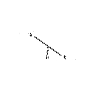 CCCCCCCCC(CCCCCC)C(=O)OCCCCCCCCCCC(CCCCCCCCCOC(=O)C(CCCCCC)CCCCCCCC)OC(=O)CCCN(C)C